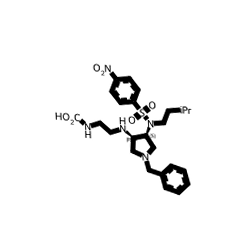 CC(C)CCN([C@H]1CN(Cc2ccccc2)C[C@H]1NCCNC(=O)O)S(=O)(=O)c1ccc([N+](=O)[O-])cc1